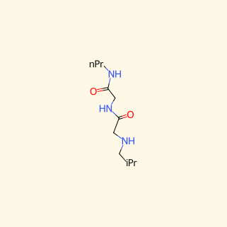 CCCNC(=O)CNC(=O)CNCC(C)C